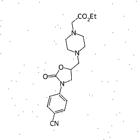 CCOC(=O)CN1CCN(CC2CN(c3ccc(C#N)cc3)C(=O)O2)CC1